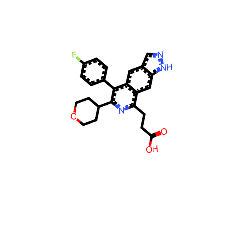 O=C(O)CCc1nc(C2CCOCC2)c(-c2ccc(F)cc2)c2cc3cn[nH]c3cc12